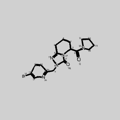 O=C(C1CCCc2nn(Cc3ccc(Br)cn3)c(=O)n21)N1CCCC1